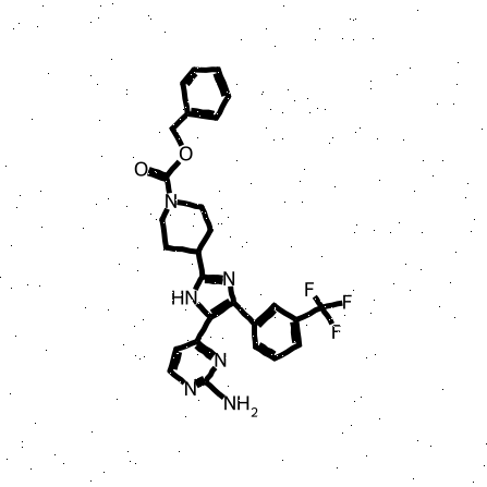 Nc1nccc(-c2[nH]c(C3CCN(C(=O)OCc4ccccc4)CC3)nc2-c2cccc(C(F)(F)F)c2)n1